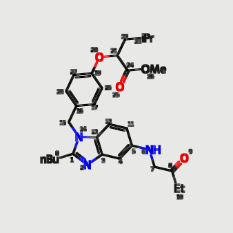 CCCCc1nc2cc(NCC(=O)CC)ccc2n1Cc1ccc(OC(CC(C)C)C(=O)OC)cc1